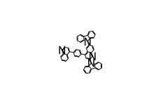 c1ccc2c(-c3ccc(-c4cc(-n5c6ccccc6c6ccccc65)nc5ccc(-n6c7ccccc7c7ccccc76)cc45)cc3)ccnc2c1